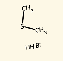 CSC.[B].[HH]